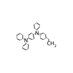 C=Cc1ccc(N(c2ccccc2)c2ccc(N(c3ccccc3)c3ccccc3)cc2)cc1